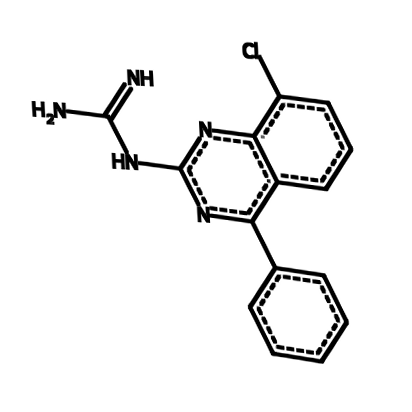 N=C(N)Nc1nc(-c2ccccc2)c2cccc(Cl)c2n1